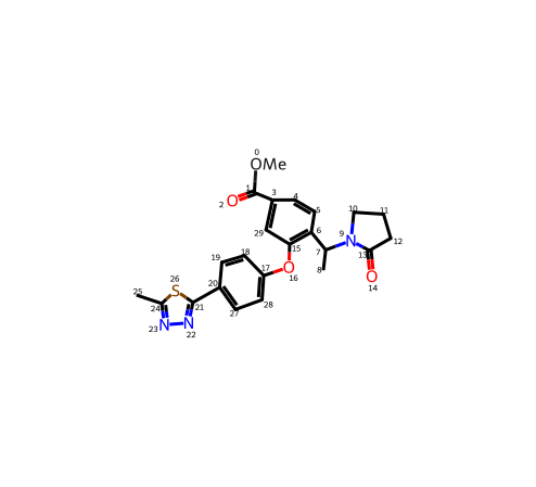 COC(=O)c1ccc(C(C)N2CCCC2=O)c(Oc2ccc(-c3nnc(C)s3)cc2)c1